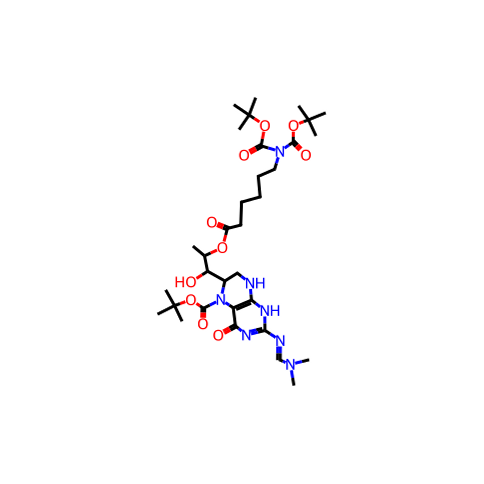 CC(OC(=O)CCCCCN(C(=O)OC(C)(C)C)C(=O)OC(C)(C)C)C(O)C1CNc2[nH]c(N=CN(C)C)nc(=O)c2N1C(=O)OC(C)(C)C